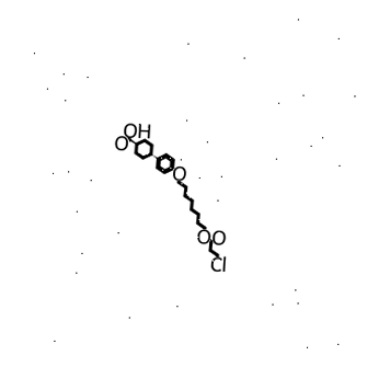 O=C(CCCl)OCCCCCCCCOc1ccc([C@H]2CC[C@H](C(=O)O)CC2)cc1